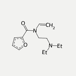 C=CN(CCN(CC)CC)C(=O)c1ccco1